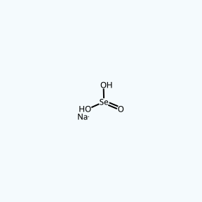 O=[Se](O)O.[Na]